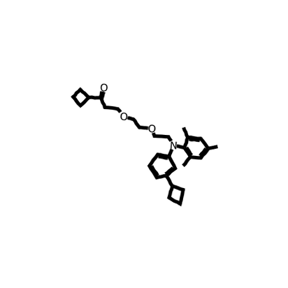 Cc1cc(C)c(N(CCOCCOCCC(=O)C2CCC2)c2cccc(C3CCC3)c2)c(C)c1